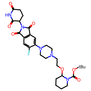 CC(C)(C)OC(=O)N1CCCCC1OCCN1CCN(c2cc3c(cc2F)C(=O)N(C2CCC(=O)NC2=O)C3=O)CC1